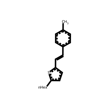 CCCCCCc1ccc(/C=C/c2ccc(C)cc2)s1